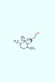 CC1CCC(C)C(C)(C)C1C=CCC=O